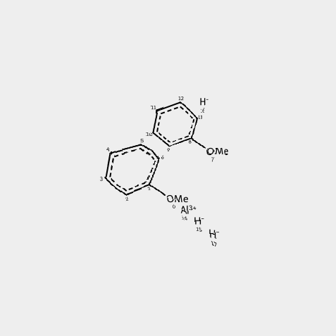 COc1ccccc1.COc1ccccc1.[Al+3].[H-].[H-].[H-]